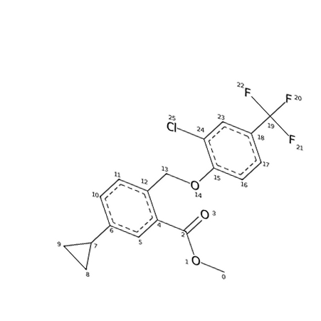 COC(=O)c1cc(C2CC2)ccc1COc1ccc(C(F)(F)F)cc1Cl